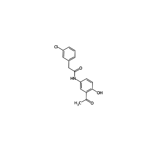 CC(=O)c1cc(NC(=O)Cc2cccc(Cl)c2)ccc1O